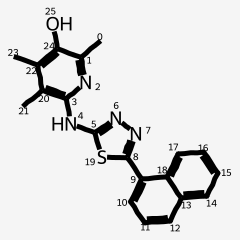 Cc1nc(Nc2nnc(-c3cccc4ccccc34)s2)c(C)c(C)c1O